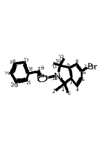 CC1(C)c2ccc(Br)cc2C(C)(C)N1OCc1ccccc1